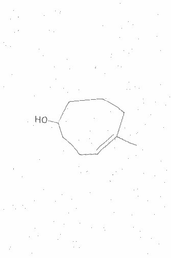 CC1=CCCC(O)CCC1